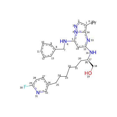 CC(C)c1cnn2c(NCc3ccccc3)cc(N[C@@H](CO)CCCCCCc3ccc(F)nc3)nc12